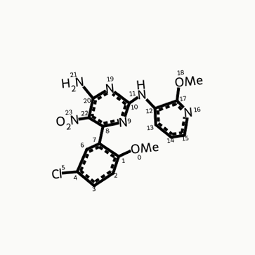 COc1ccc(Cl)cc1-c1nc(Nc2cccnc2OC)nc(N)c1[N+](=O)[O-]